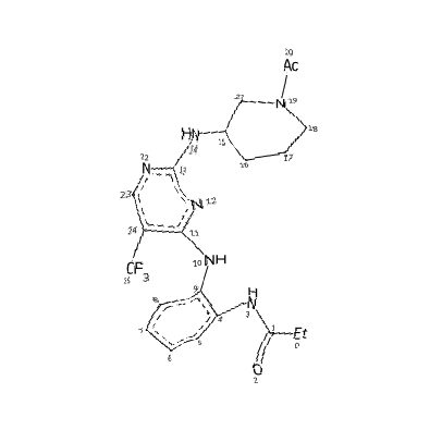 CCC(=O)Nc1ccccc1Nc1nc(NC2CCCN(C(C)=O)C2)ncc1C(F)(F)F